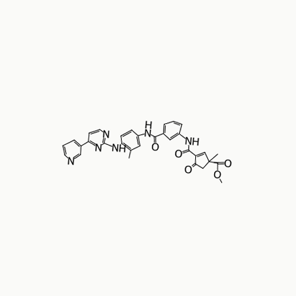 COC(=O)C1(C)C=C(C(=O)Nc2cccc(C(=O)Nc3ccc(Nc4nccc(-c5cccnc5)n4)c(C)c3)c2)C(=O)C1